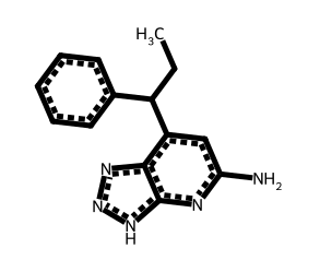 CCC(c1ccccc1)c1cc(N)nc2[nH]nnc12